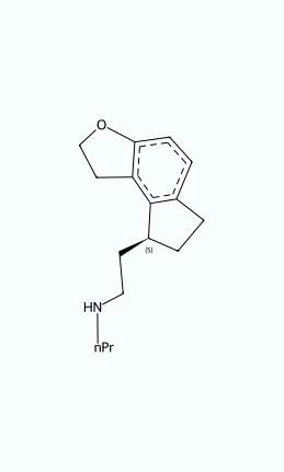 CCCNCC[C@@H]1CCc2ccc3c(c21)CCO3